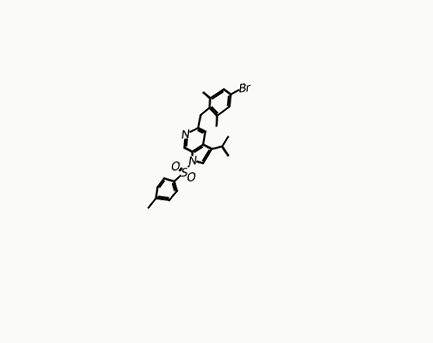 Cc1ccc(S(=O)(=O)n2cc(C(C)C)c3cc(Cc4c(C)cc(Br)cc4C)ncc32)cc1